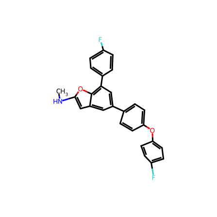 CNc1cc2cc(-c3ccc(Oc4ccc(F)cc4)cc3)cc(-c3ccc(F)cc3)c2o1